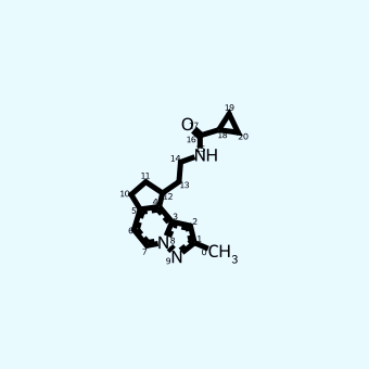 Cc1cc2c3c(ccn2n1)CCC3CCNC(=O)C1CC1